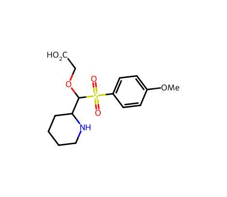 COc1ccc(S(=O)(=O)C(OCC(=O)O)C2CCCCN2)cc1